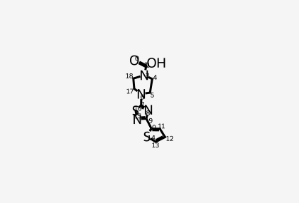 O=C(O)N1CCN(c2nc(-c3cccs3)ns2)CC1